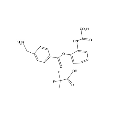 NCc1ccc(C(=O)Oc2ccccc2NC(=O)C(=O)O)cc1.O=C(O)C(F)(F)F